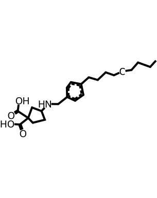 CCCCCCCCCc1ccc(CNC2CCC(C(=O)O)(C(=O)O)C2)cc1